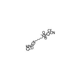 CC1=C(CCCCCCN2CCN(C(=O)Nc3c(C)cccc3C)CC2)C(=O)N(c2ccc(C#N)c(C(F)(F)F)c2)C1=O